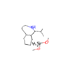 CC(C)C1NCCC2CCCCC21.CO[SiH2]OC